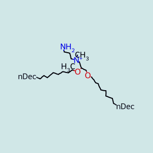 CCCCCCCCCCCCCCCCCCOCC(C[N+](C)(C)CCCN)OCCCCCCCCCCCCCCCCCC